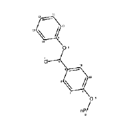 CCCOc1ccc(C(Cl)Oc2ccccc2)cc1